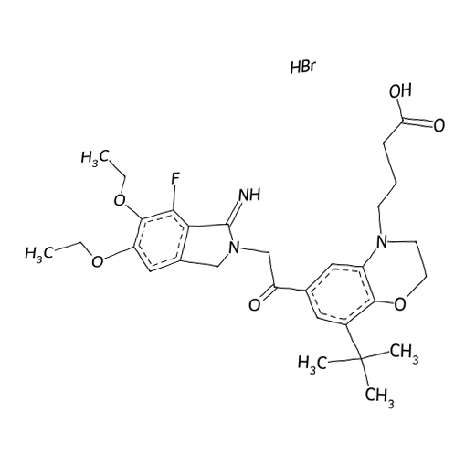 Br.CCOc1cc2c(c(F)c1OCC)C(=N)N(CC(=O)c1cc3c(c(C(C)(C)C)c1)OCCN3CCCC(=O)O)C2